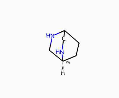 C1C[C@H]2CNC1CN2